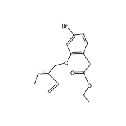 C=C/C(=C\C)COc1cc(Br)ccc1CC(=O)OCC